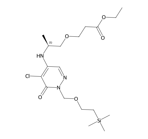 CCOC(=O)CCOC[C@H](C)Nc1cnn(COCC[Si](C)(C)C)c(=O)c1Cl